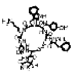 C[C@@H](O)[C@@H]1NC(=O)[C@H](CCCCN)NC(=O)[C@@H](Cc2c[nH]c3ccccc23)NC(O)[C@H](Cc2ccc(O)cc2)NC(=O)[C@@H](NC(=O)[C@H](N)Cc2ccccc2)CSSC[C@@H](C(=O)N[C@H](C(N)=O)C(C)(C)S)NC1=O